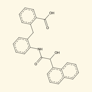 O=C(O)c1ccccc1Cc1ccccc1NC(=O)C(O)c1cccc2ccccc12